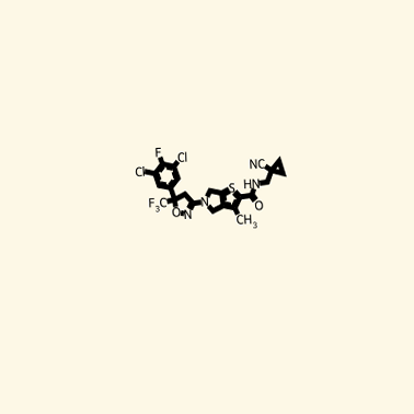 Cc1c(C(=O)NCC2(C#N)CC2)sc2c1CN(C1=NOC(c3cc(Cl)c(F)c(Cl)c3)(C(F)(F)F)C1)C2